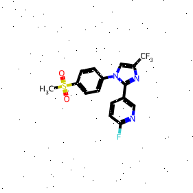 CS(=O)(=O)c1ccc(-n2cc(C(F)(F)F)nc2-c2ccc(F)nc2)cc1